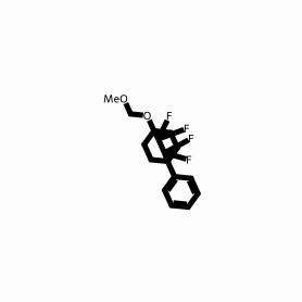 COCOC12CCC(c3ccccc3)(CC1)C(F)(F)C2(F)F